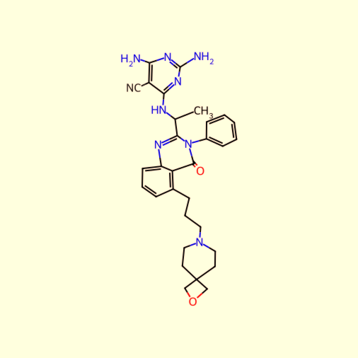 CC(Nc1nc(N)nc(N)c1C#N)c1nc2cccc(CCCN3CCC4(CC3)COC4)c2c(=O)n1-c1ccccc1